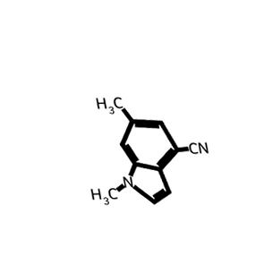 Cc1cc(C#N)c2ccn(C)c2c1